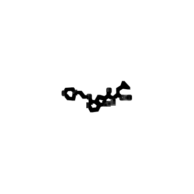 O=CC(CC1CC1)NC(=O)c1cc2c(OCCN3CCOCC3)nccc2[nH]1